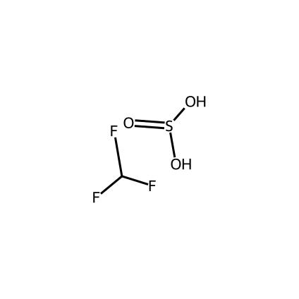 FC(F)F.O=S(O)O